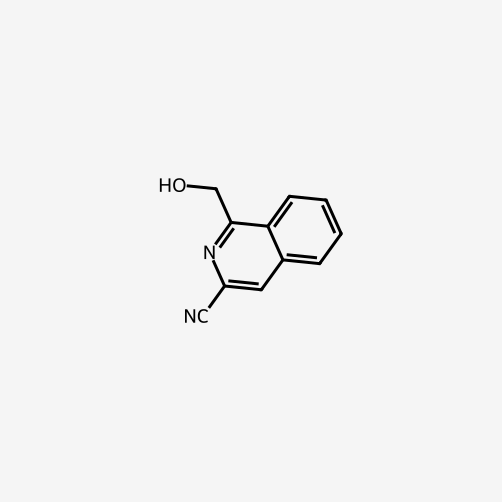 N#Cc1cc2ccccc2c(CO)n1